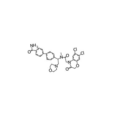 CN(C(=O)CN1C(=O)COc2cc(Cl)c(Cl)cc21)C(CN1CCOCC1)c1ccc(-c2ccc(C(N)=O)cc2)cc1